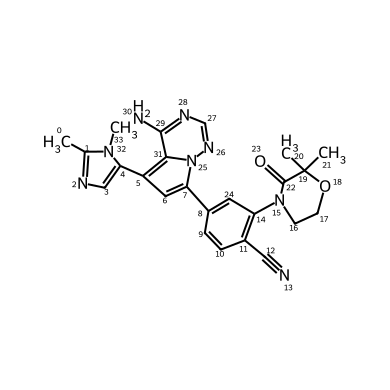 Cc1ncc(-c2cc(-c3ccc(C#N)c(N4CCOC(C)(C)C4=O)c3)n3ncnc(N)c23)n1C